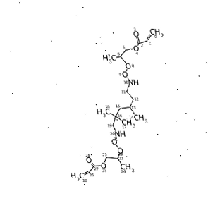 C=CC(=O)OCC(C)OONCCC(C)CC(C)(C)CNOOC(C)COC(=O)C=C